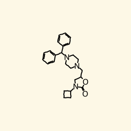 O=C1OC(CN2CCN(C(c3ccccc3)c3ccccc3)CC2)CN1C1CCC1